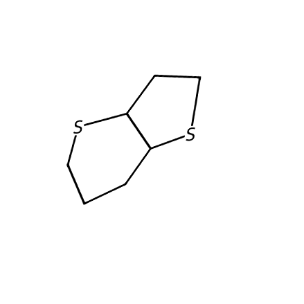 C1CSC2CCSC2C1